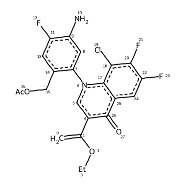 C=C(OCC)c1cn(-c2cc(N)c(F)cc2COC(C)=O)c2c(Cl)c(F)c(F)cc2c1=O